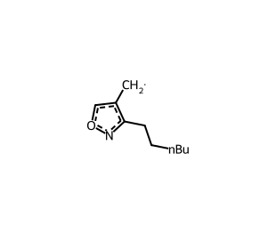 [CH2]c1conc1CCCCCC